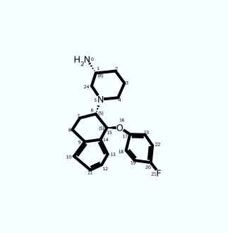 N[C@@H]1CCCN([C@H]2CCc3ccccc3[C@@H]2Oc2ccc(F)cc2)C1